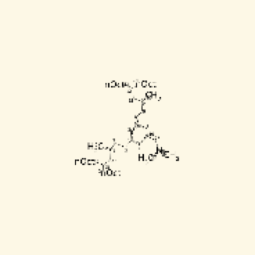 C=C(CCc1cc(CCC(=C)CC(CCCCCCCC)CCCCCCCC)cc(CN(C)C)c1)CC(CCCCCCCC)CCCCCCCC